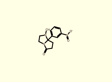 CN1CCN2C(=O)CCC12c1cccc([N+](=O)[O-])c1